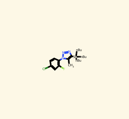 CCC[CH2][Sn]([CH2]CCC)([CH2]CCC)[c]1nnn(-c2ccc(Cl)cc2F)c1C